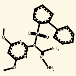 COc1cc(OC)nc(N(C(N)=NN)S(=O)(=O)c2ccccc2-c2ccccc2)n1